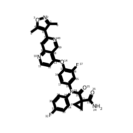 Cc1noc(C)c1-c1cc2nccc(Oc3ccc(N(C(=O)C4(C(N)=O)CC4)c4ccc(F)cc4)cc3F)c2cn1